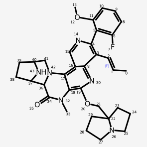 C/C=C/c1c(-c2c(F)cccc2OC)ncc2c3c(c(OCC45CCCN4CCC5)nc12)N(C)C(=O)C1C2CCC(CN31)N2